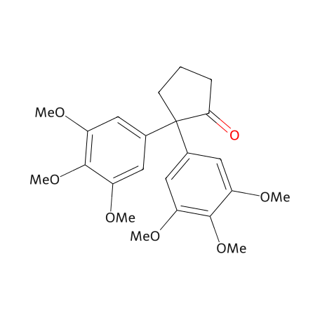 COc1cc(C2(c3cc(OC)c(OC)c(OC)c3)CCCC2=O)cc(OC)c1OC